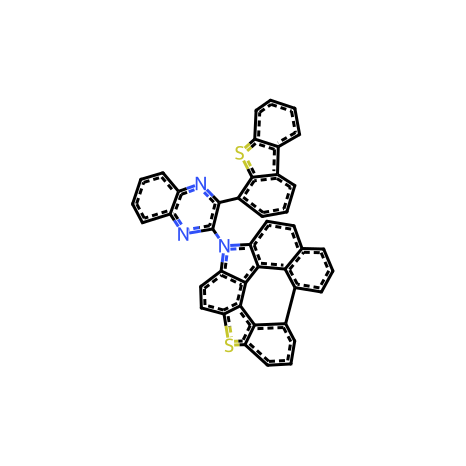 c1cc2c3c(c1)ccc1c3c3c4c(ccc3n1-c1nc3ccccc3nc1-c1cccc3c1sc1ccccc13)sc1cccc-2c14